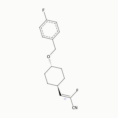 N#C/C(F)=C/[C@H]1CC[C@H](OCc2ccc(F)cc2)CC1